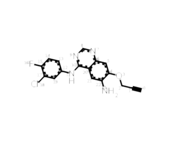 C#CCOc1cc2ncnc(Nc3ccc(F)c(Cl)c3)c2cc1N